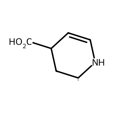 O=C(O)C1C=CN[CH]C1